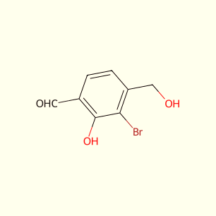 O=Cc1ccc(CO)c(Br)c1O